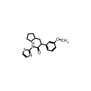 COc1cccc(C(CC2CCCC2)C(=O)Nc2nccs2)c1